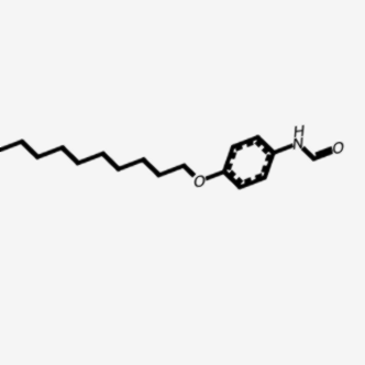 CCCCCCCCCCOc1ccc(NC=O)cc1